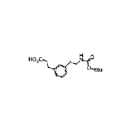 CC(C)(C)OC(=O)NC[CH]c1cccc(CCC(=O)O)c1